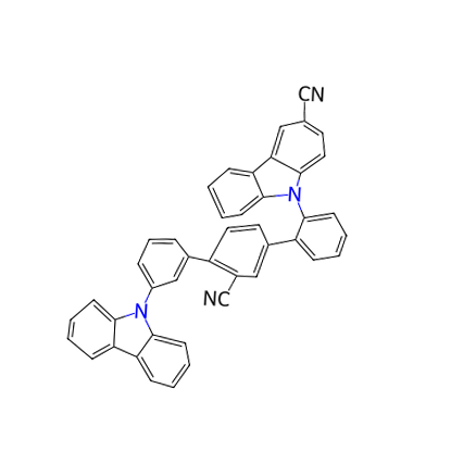 N#Cc1ccc2c(c1)c1ccccc1n2-c1ccccc1-c1ccc(-c2cccc(-n3c4ccccc4c4ccccc43)c2)c(C#N)c1